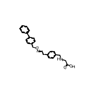 O=C(O)CNCc1ccc(CC=NOCc2ccc(-c3ccccc3)cc2)cc1